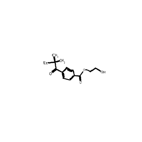 CCC(C)(C)C(=O)c1ccc(C(=O)OCCO)cc1